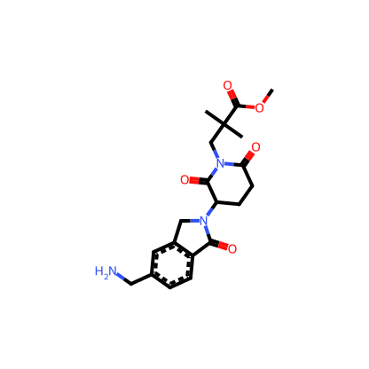 COC(=O)C(C)(C)CN1C(=O)CCC(N2Cc3cc(CN)ccc3C2=O)C1=O